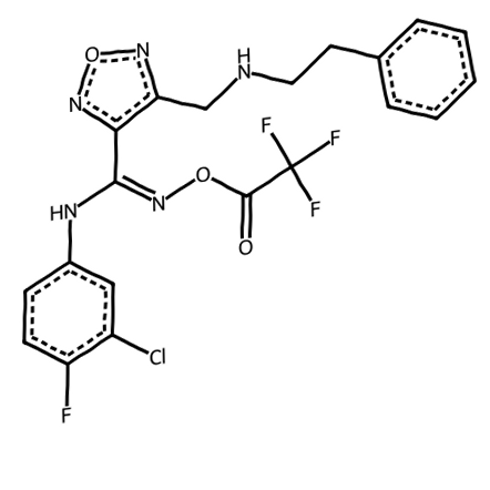 O=C(ON=C(Nc1ccc(F)c(Cl)c1)c1nonc1CNCCc1ccccc1)C(F)(F)F